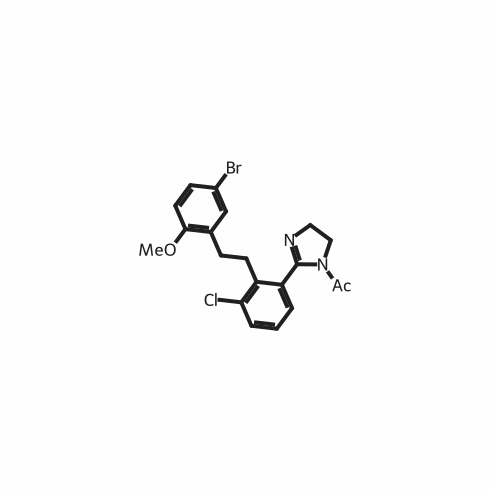 COc1ccc(Br)cc1CCc1c(Cl)cccc1C1=NCCN1C(C)=O